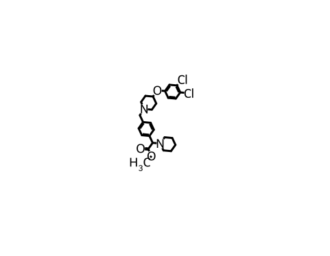 COC(=O)C(c1ccc(CN2CCC(Oc3ccc(Cl)c(Cl)c3)CC2)cc1)N1CCCCC1